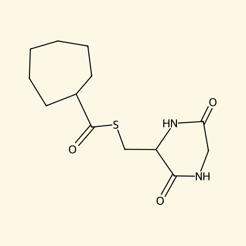 O=C1CNC(=O)C(CSC(=O)C2CCCCCC2)N1